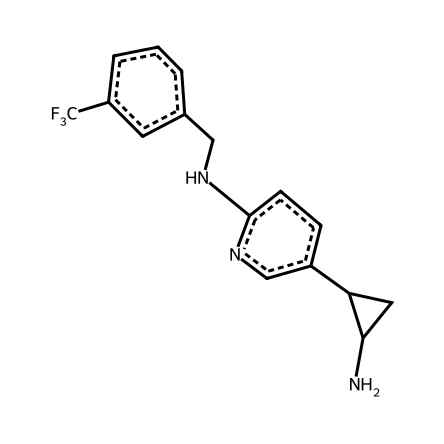 NC1CC1c1ccc(NCc2cccc(C(F)(F)F)c2)nc1